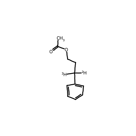 [2H]C([2H])(CCOC(C)=O)c1ccccc1